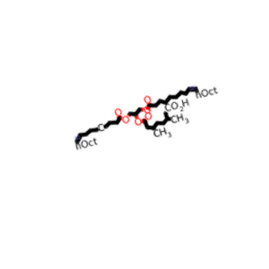 CCCCCCCC/C=C\CCCCCCCC(=O)OCC(COC(=O)CCCCCCC/C=C\CCCCCCCC)OC(=O)CC(C)CCC(C)CC(=O)O